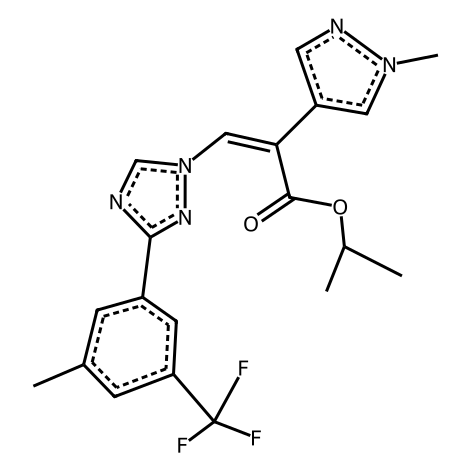 Cc1cc(-c2ncn(C=C(C(=O)OC(C)C)c3cnn(C)c3)n2)cc(C(F)(F)F)c1